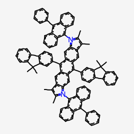 Cc1c(C)n(-c2c3ccccc3c(-c3ccccc3)c3ccccc23)c2cc3c(-c4ccc5c(c4)C(C)(C)c4ccccc4-5)c4cc5c(C)c(C)n(-c6c7ccccc7c(-c7ccccc7)c7ccccc67)c5cc4c(-c4ccc5c(c4)C(C)(C)c4ccccc4-5)c3cc12